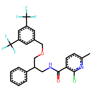 Cc1ccc(C(=O)NCC(COCc2cc(C(F)(F)F)cc(C(F)(F)F)c2)c2ccccc2)c(Cl)n1